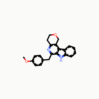 COc1ccc(Cc2nc3c(c4c2[nH]c2ccccc24)COCC3)cc1